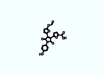 O=COc1ccc(C2=C(c3ccc(C(=O)O)o3)C(=O)N(c3ccc(O)cc3)C2=O)o1